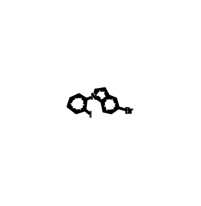 Brc1ccc2c(ccn2-c2ccccc2I)c1